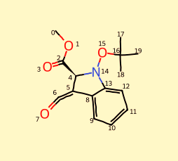 COC(=O)[C@@H]1C(=C=O)c2ccccc2N1OC(C)(C)C